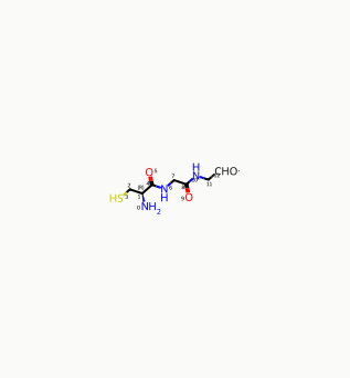 N[C@@H](CS)C(=O)NCC(=O)NC[C]=O